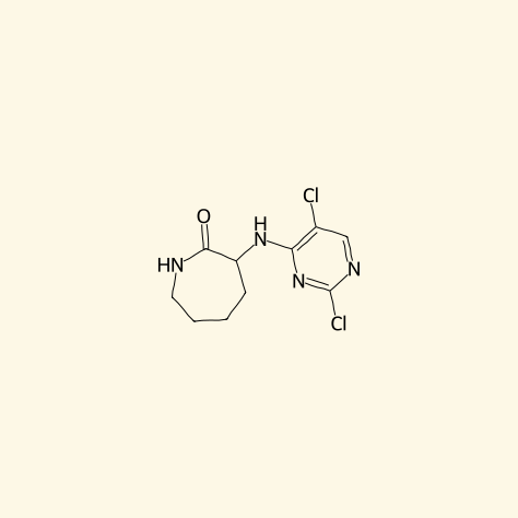 O=C1NCCCCC1Nc1nc(Cl)ncc1Cl